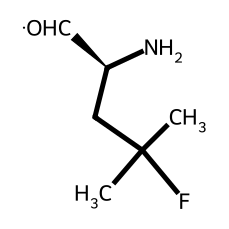 CC(C)(F)C[C@H](N)[C]=O